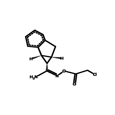 N/C(=N/OC(=O)CCl)[C@H]1[C@@H]2Cc3ccccc3[C@@H]21